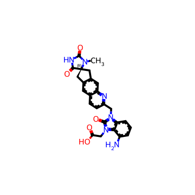 CN1C(=O)NC(=O)[C@]12Cc1cc3ccc(Cn4c(=O)n(CC(=O)O)c5c(N)cccc54)nc3cc1C2